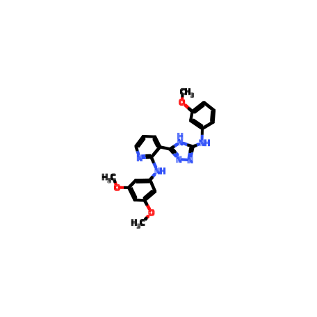 COc1cccc(Nc2nnc(-c3cccnc3Nc3cc(OC)cc(OC)c3)[nH]2)c1